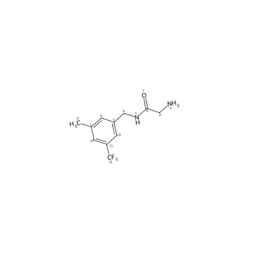 Cc1cc(CNC(=O)CN)cc(C(F)(F)F)c1